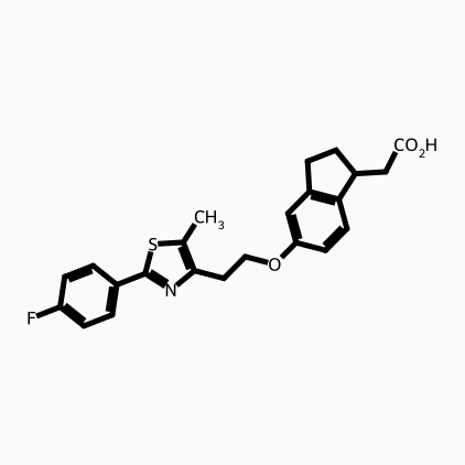 Cc1sc(-c2ccc(F)cc2)nc1CCOc1ccc2c(c1)CCC2CC(=O)O